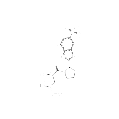 CCCC[C@H](CN(O)C=O)C(=O)N1CCC[C@H]1c1nc2cc(S(=O)(=O)CC)ccc2o1